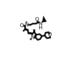 C=c1c2c(n(C)/c1=C/C=C(\C)C(=O)N(C)CCCC(=O)NC1CC1)CCC(C1CCOCC1)C2